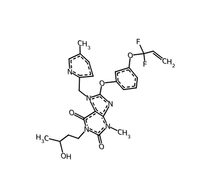 C=CC(F)(F)Oc1cccc(Oc2nc3c(c(=O)n(CCC(C)O)c(=O)n3C)n2Cc2ccc(C)cn2)c1